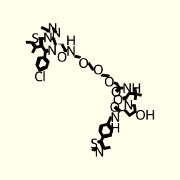 Cc1ncsc1-c1ccc(CNC(=O)[C@@H]2C[C@@H](O)CN2C(=O)[C@@H](NC(=O)COCCOCCOCCNC(=O)C[C@@H]2N=C(c3ccc(Cl)cc3)c3c(sc(C)c3C)-n3c(C)nnc32)C(C)(C)C)cc1